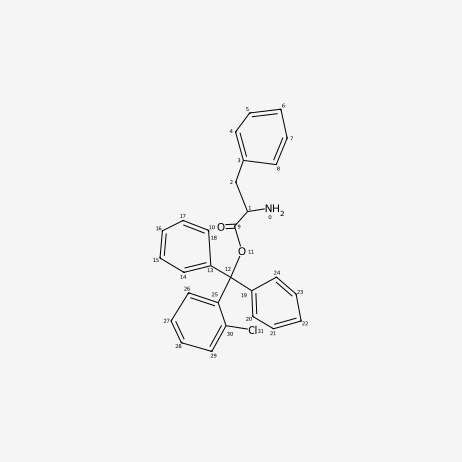 NC(Cc1ccccc1)C(=O)OC(c1ccccc1)(c1ccccc1)c1ccccc1Cl